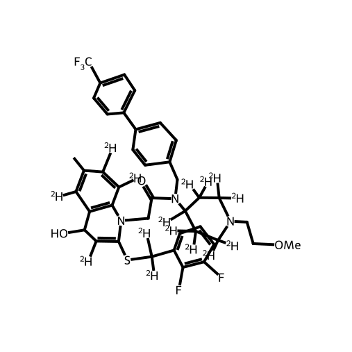 [2H]C1=C(SC([2H])([2H])c2cccc(F)c2F)N(CC(=O)N(Cc2ccc(-c3ccc(C(F)(F)F)cc3)cc2)C2([2H])C([2H])([2H])C([2H])([2H])N(CCOC)C([2H])([2H])C2([2H])[2H])c2c([2H])c([2H])c(C)c([2H])c2C1O